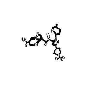 Cc1ccc(-n2nc(C3CCN(S(C)(=O)=O)CC3)cc2NC(=O)c2cnn3cc(C(N)=O)cnc23)nc1